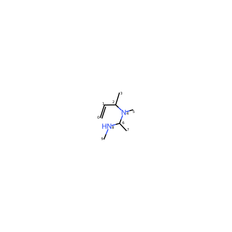 C=CC(C)N(C)C(C)NC